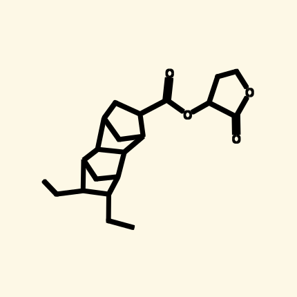 CCC1C(CC)C2CC1C1C3CC(C(=O)OC4CCOC4=O)C(C3)C21